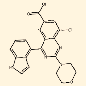 O=C(O)c1cc(Cl)c2nc(N3CCOCC3)nc(-c3cccc4[nH]ccc34)c2n1